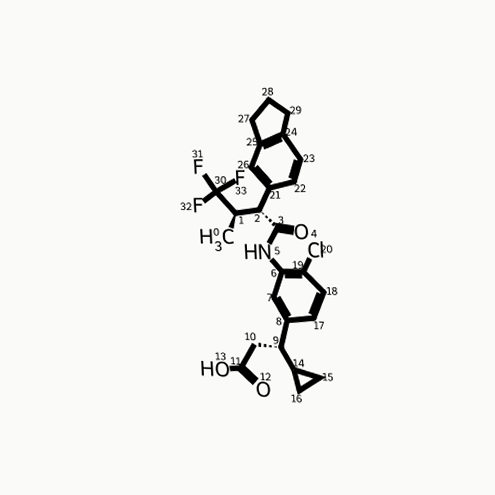 C[C@H]([C@@H](C(=O)Nc1cc([C@@H](CC(=O)O)C2CC2)ccc1Cl)c1ccc2c(c1)CCC2)C(F)(F)F